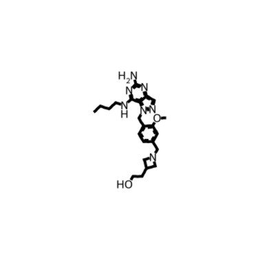 CCCCNc1nc(N)nc2cnn(Cc3ccc(CN4CC(CCO)C4)cc3OC)c12